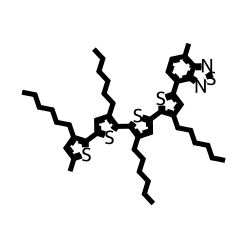 CCCCCCc1cc(C)sc1-c1cc(CCCCCC)c(-c2sc(-c3sc(-c4ccc(C)c5nsnc45)cc3CCCCCC)cc2CCCCCC)s1